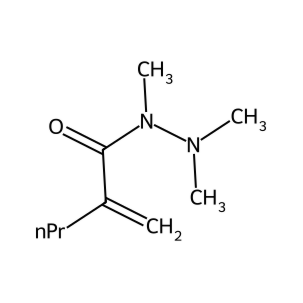 C=C(CCC)C(=O)N(C)N(C)C